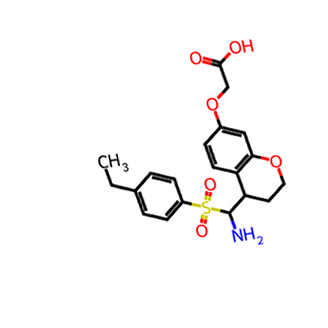 CCc1ccc(S(=O)(=O)C(N)C2CCOc3cc(OCC(=O)O)ccc32)cc1